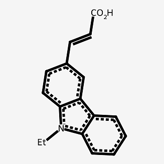 CCn1c2ccccc2c2cc(C=CC(=O)O)ccc21